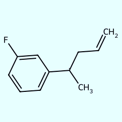 C=CC[C](C)c1cccc(F)c1